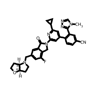 Cn1cnnc1-c1cc(C#N)ccc1-c1cc(C2CC2)nc(N2Cc3c(F)cc(CN4CC[C@H]5OCC[C@H]54)cc3C2=O)c1